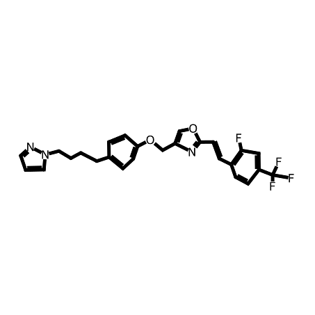 Fc1cc(C(F)(F)F)ccc1C=Cc1nc(COc2ccc(CCCCn3cccn3)cc2)co1